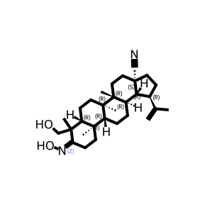 C=C(C)[C@@H]1CC[C@]2(C#N)CC[C@]3(C)[C@H](CC[C@@H]4[C@@]5(C)CC/C(=N/O)C(C)(CO)[C@@H]5CC[C@]43C)[C@@H]12